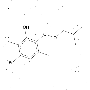 Cc1cc(Br)c(C)c(O)c1OOCC(C)C